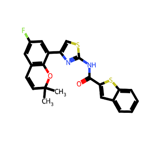 CC1(C)C=Cc2cc(F)cc(-c3csc(NC(=O)c4cc5ccccc5s4)n3)c2O1